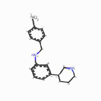 O=[N+]([O-])c1ccc(CNc2cccc(C3CCCNC3)c2)cc1